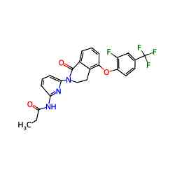 CCC(=O)Nc1cccc(N2CCc3c(Oc4ccc(C(F)(F)F)cc4F)cccc3C2=O)n1